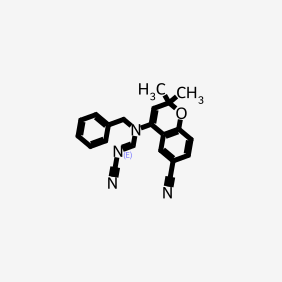 CC1(C)C=C(N(/C=N/C#N)Cc2ccccc2)c2cc(C#N)ccc2O1